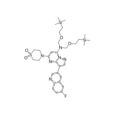 C[Si](C)(C)CCOCN(COCC[Si](C)(C)C)c1cc(N2CCS(=O)(=O)CC2)nc2c(-c3cnc4ccc(F)cc4c3)cnn12